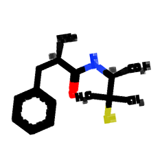 CN[C@H](Cc1ccccc1)C(=O)N[C@@H](C(=O)O)C(C)(C)S